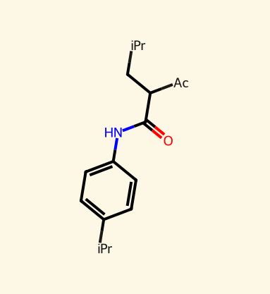 CC(=O)C(CC(C)C)C(=O)Nc1ccc(C(C)C)cc1